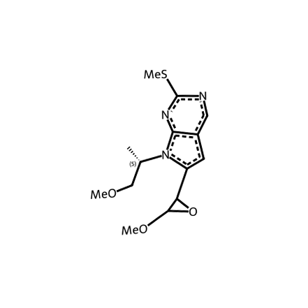 COC[C@H](C)n1c(C2OC2OC)cc2cnc(SC)nc21